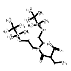 CCC(C(=O)O)C(=O)N(CCO[Si](C)(C)C(C)(C)C)CCO[Si](C)(C)C(C)(C)C